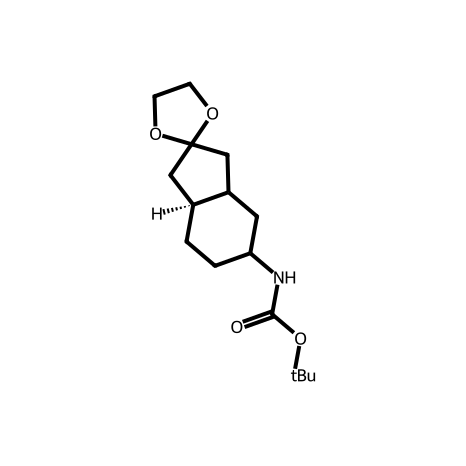 CC(C)(C)OC(=O)NC1CC[C@H]2CC3(CC2C1)OCCO3